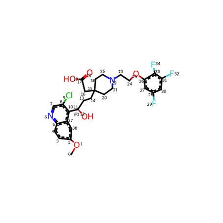 COc1ccc2ncc(Cl)c([C@H](O)CCC3(CC(=O)O)CCN(CCOc4cc(F)cc(F)c4F)CC3)c2c1